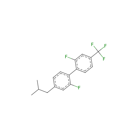 CC(C)Cc1ccc(-c2ccc(C(F)(F)F)cc2F)c(F)c1